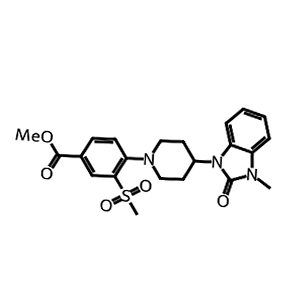 COC(=O)c1ccc(N2CCC(n3c(=O)n(C)c4ccccc43)CC2)c(S(C)(=O)=O)c1